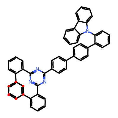 c1ccc(-c2ccccc2-c2nc(-c3ccc(-c4ccc(-c5ccccc5-n5c6ccccc6c6ccccc65)cc4)cc3)nc(-c3ccccc3-c3ccccc3)n2)cc1